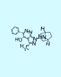 Cc1nn([C@@H]2C[C@H]3CC[C@@H](C2)N3)c2nnc(-c3ccccc3)c(O)c12